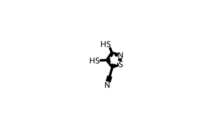 N#Cc1snc(S)c1S